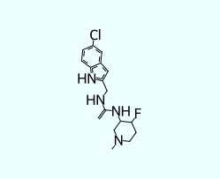 C=C(NCc1cc2cc(Cl)ccc2[nH]1)NC1CN(C)CCC1F